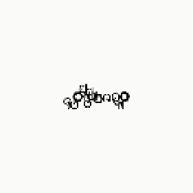 CC(=O)Oc1ccc(Cl)c(NC(=O)c2ccc(OC[C@@H]3CN(C)c4ccccc4O3)cc2Cl)c1